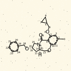 Cc1cc(OCC2CC2)c2c(c1)OC[C@H]1C[C@H](OCc3ccccc3)CN1C2=O